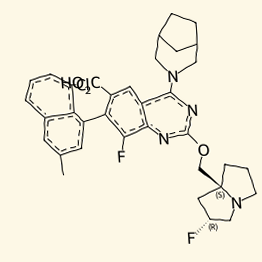 Cc1cc(-c2c(C(=O)O)cc3c(N4CC5CCC(C5)C4)nc(OC[C@@]45CCCN4C[C@H](F)C5)nc3c2F)c2c(Cl)cccc2c1